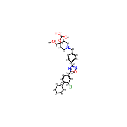 COCC1(OC(=O)O)CCN(Cc2ccc(-c3noc(-c4ccc(C5CCCCC5)c(Cl)c4)n3)cc2)CC1